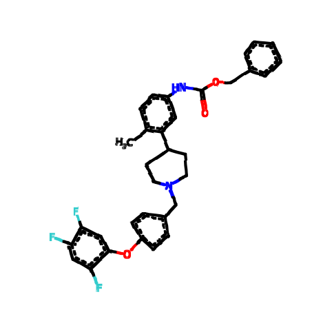 Cc1ccc(NC(=O)OCc2ccccc2)cc1C1CCN(Cc2ccc(Oc3cc(F)c(F)cc3F)cc2)CC1